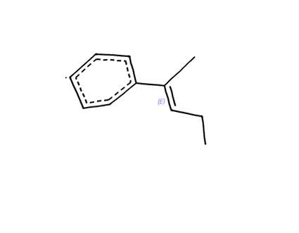 CC/C=C(\C)c1cc[c]cc1